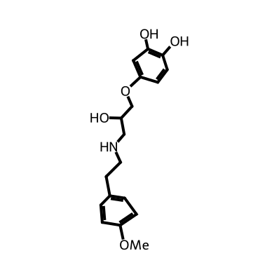 COc1ccc(CCNCC(O)COc2ccc(O)c(O)c2)cc1